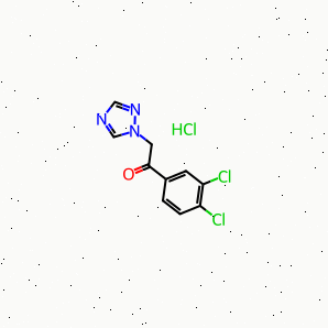 Cl.O=C(Cn1cncn1)c1ccc(Cl)c(Cl)c1